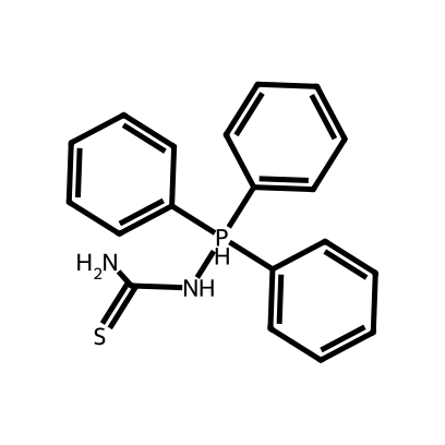 NC(=S)N[PH](c1ccccc1)(c1ccccc1)c1ccccc1